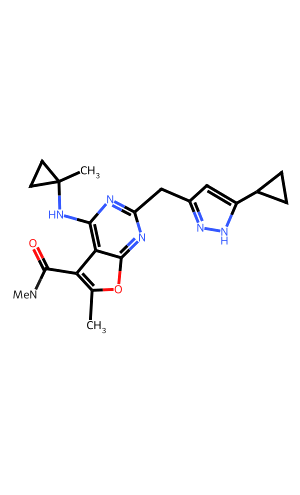 CNC(=O)c1c(C)oc2nc(Cc3cc(C4CC4)[nH]n3)nc(NC3(C)CC3)c12